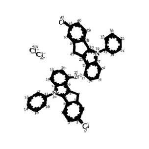 Clc1ccc2c(c1)Cc1c-2n(-c2ccccc2)c2ccc[c]([Zr+2][c]3cccc4c3c3c(n4-c4ccccc4)-c4ccc(Cl)cc4C3)c12.[Cl-].[Cl-]